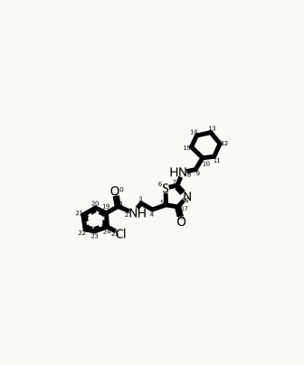 O=C(NCCC1SC(NCC2CCCCC2)=NC1=O)c1ccccc1Cl